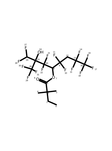 CCC(C)(C)C(=O)OC(C(F)(F)CC(F)(F)C(F)(F)F)C(F)(F)C(O)(C(F)F)C(F)(F)F